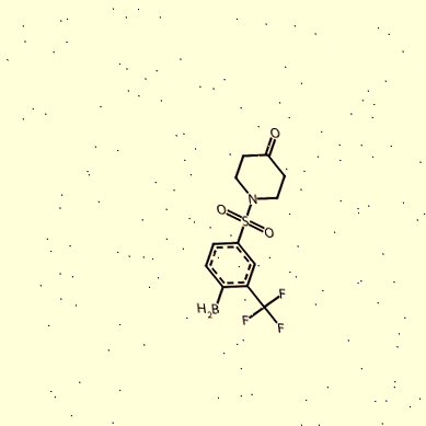 Bc1ccc(S(=O)(=O)N2CCC(=O)CC2)cc1C(F)(F)F